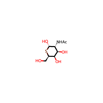 CC(=O)N[C@@H]1[C@@H](O)[C@@H](O)[C@@H](CO)S[C@@H]1O